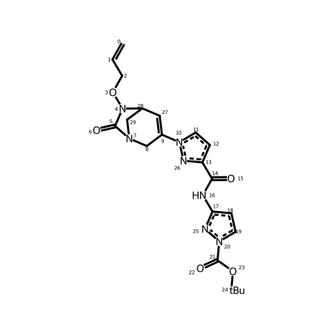 C=CCON1C(=O)N2CC(n3ccc(C(=O)Nc4ccn(C(=O)OC(C)(C)C)n4)n3)=CC1C2